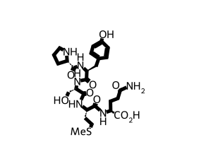 CSCC[C@H](NC(=O)[C@H](CO)NC(=O)[C@H](Cc1ccc(O)cc1)NC(=O)[C@@H]1CCCN1)C(=O)N[C@@H](CCC(N)=O)C(=O)O